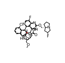 COCOc1cc(-c2ncc(F)c3nc(OC[C@]45CCCN4C[C@@H](F)C5)nc(C4CC5CNCC4(C)N5C(=O)O)c23)c2c(Cl)cccc2c1